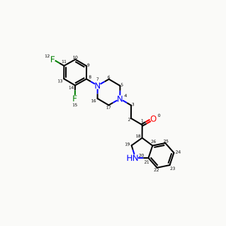 O=C(CCN1CCN(c2ccc(F)cc2F)CC1)C1CNc2ccccc21